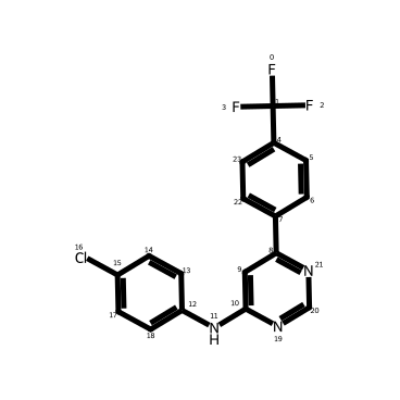 FC(F)(F)c1ccc(-c2cc(Nc3ccc(Cl)cc3)ncn2)cc1